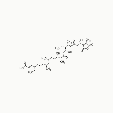 CCC(/C=C/C(=O)O)=C\CC[C@H](C)C[C@@H](C)CC[C@H](O)[C@H](C)C(=O)C[C@@H](O)[C@H](CC)[C@@H](C)OC(=O)C[C@@H](O)C1=C(C)C(=O)OC1=O